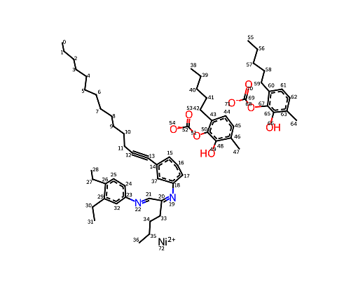 CCCCCCCCCCCCC#Cc1cccc(N=C(C=Nc2ccc(CC)c(CC)c2)CCCC)c1.CCCCCc1ccc(C)c(O)c1OC(=O)[O-].CCCCCc1ccc(C)c(O)c1OC(=O)[O-].[Ni+2]